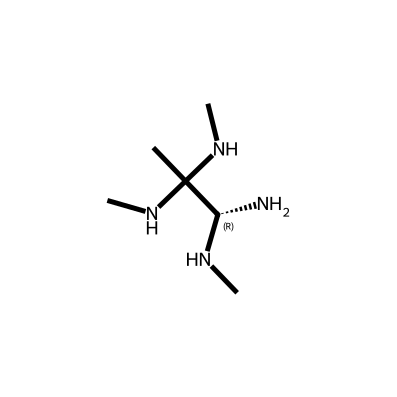 CN[C@@H](N)C(C)(NC)NC